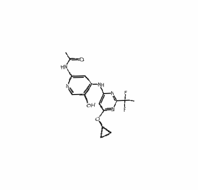 CC(=O)Nc1cc(Nc2cc(OC3CC3)nc(C(C)(F)F)n2)c(O)cn1